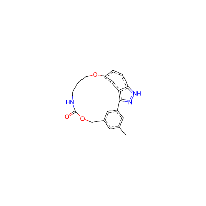 Cc1cc2cc(c1)-c1n[nH]c3ccc(cc13)OCCCNC(=O)OC2